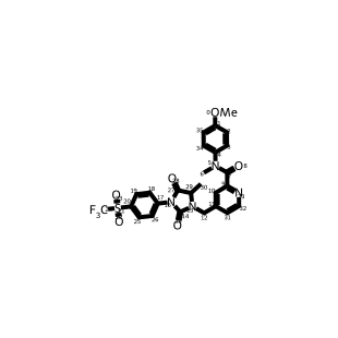 COc1ccc(N(C)C(=O)c2cc(CN3C(=O)N(c4ccc(S(=O)(=O)C(F)(F)F)cc4)C(=O)C3C)ccn2)cc1